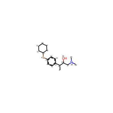 CC(c1ccc(SC2CCCCC2)cc1)C(O)CN(C)C